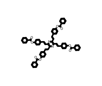 O=C(Oc1ccc(C=Cc2nc(C=Cc3ccc(OC(=O)c4ccccc4)cc3)c(C=Cc3ccc(OC(=O)c4ccccc4)cc3)nc2C=Cc2ccc(OC(=O)c3ccccc3)cc2)cc1)c1ccccc1